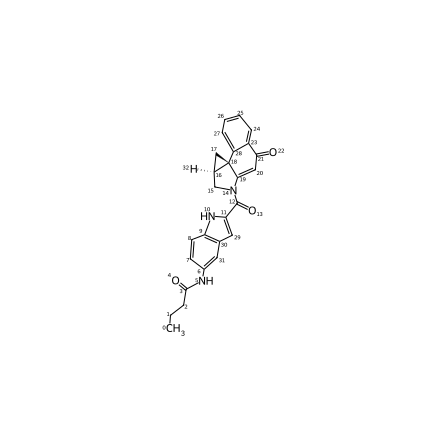 CCCC(=O)Nc1ccc2[nH]c(C(=O)N3C[C@H]4C[C@@]45C3=CC(=O)c3ccccc35)cc2c1